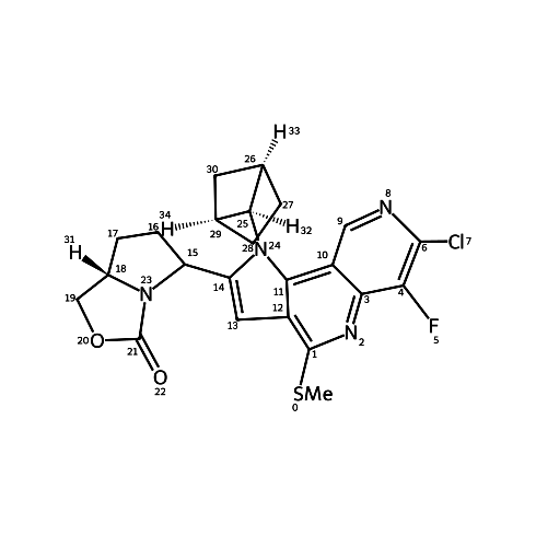 CSc1nc2c(F)c(Cl)ncc2c2c1cc(C1CC[C@H]3COC(=O)N13)n2[C@@H]1[C@@H]2CC[C@H]1C2